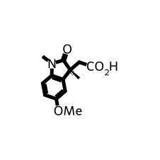 COc1ccc2c(c1)[C@@](C)(CC(=O)O)C(=O)N2C